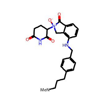 CNCCCc1ccc(CNc2cccc3c2C[N+]([O-])(C2CCC(=O)NC2=O)C3=O)cc1